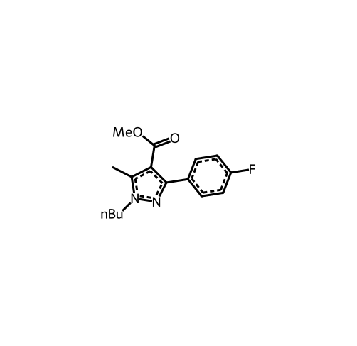 CCCCn1nc(-c2ccc(F)cc2)c(C(=O)OC)c1C